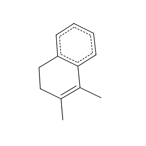 CC1=C(C)c2ccccc2CC1